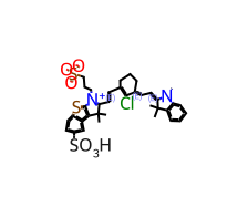 CN1/C(=C/C=C2\CCCC(/C=C/C3=[N+](CCCS(=O)(=O)[O-])c4sc5ccc(S(=O)(=O)O)cc5c4C3(C)C)=C2Cl)C(C)(C)c2ccccc21